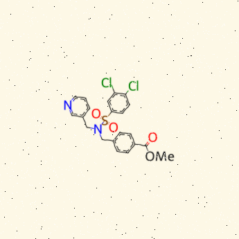 COC(=O)c1ccc(CN(Cc2cccnc2)S(=O)(=O)c2ccc(Cl)c(Cl)c2)cc1